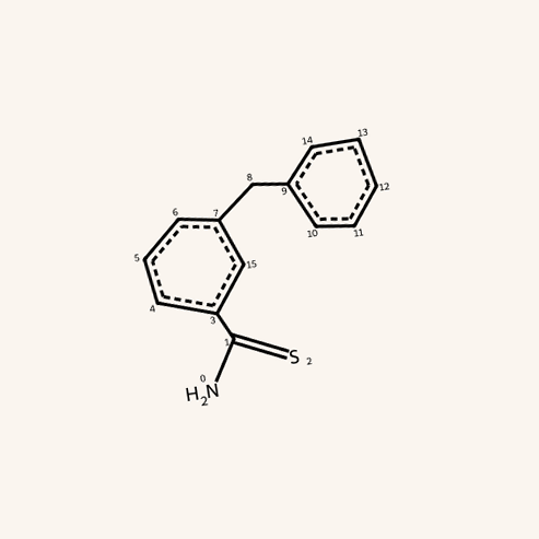 NC(=S)c1cccc(Cc2ccccc2)c1